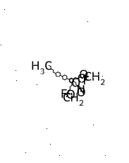 C=C(F)C(=O)CCCCc1cc(C2CCC(C3CCC(CCCCC)CC3)CC2)cc(CCCOC(=O)C(=C)F)c1OCCCN=O